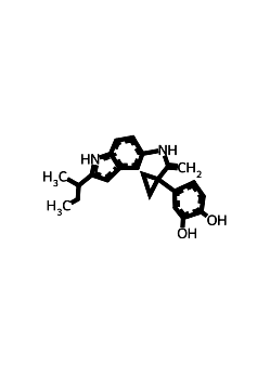 C=C(Nc1ccc2[nH]c(C(C)CC)cc2c1)C1(c2ccc(O)c(O)c2)CC1